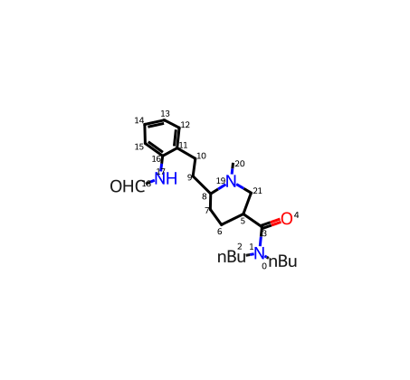 CCCCN(CCCC)C(=O)C1CCC(CCc2ccccc2NC=O)N(C)C1